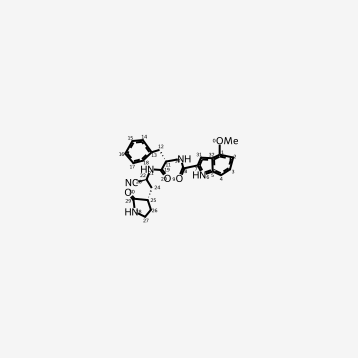 COc1cccc2[nH]c(C(=O)N[C@@H](Cc3ccccc3)C(=O)N[C@H](C#N)C[C@@H]3CCNC3=O)cc12